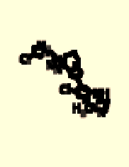 Cn1nccc1Nc1cc(-c2cc3n(c2)CCCn2c(Cn4cc(Cl)cn4)nnc2-3)c(Cl)cn1